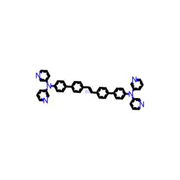 C(=C\c1ccc(-c2ccc(N(c3cccnc3)c3cccnc3)cc2)cc1)/c1ccc(-c2ccc(N(c3cccnc3)c3cccnc3)cc2)cc1